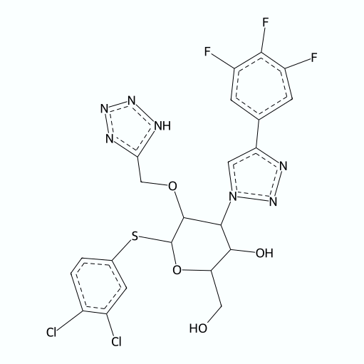 OCC1OC(Sc2ccc(Cl)c(Cl)c2)C(OCc2nnn[nH]2)C(n2cc(-c3cc(F)c(F)c(F)c3)nn2)C1O